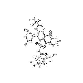 CN(C)S(=O)(=O)c1ccc(-n2c([C@H](Cc3cc(F)cc(F)c3)NC(=O)Cn3nc(C(F)F)c4c3C(F)(F)[C@@H]3C[C@H]43)nc3ncccc3c2=O)cc1